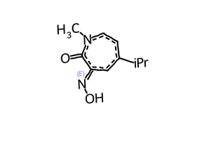 CC(C)c1ccn(C)c(=O)/c(=N/O)c1